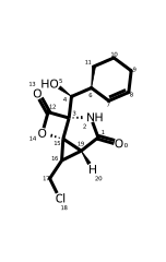 O=C1N[C@@]2([C@@H](O)[C@@H]3C=CCCC3)C(=O)O[C@]23C(CCl)[C@@H]13